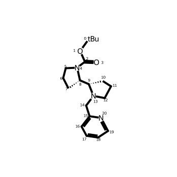 CC(C)(C)OC(=O)N1CCC[C@H]1[C@@H]1CCCN1Cc1ccccn1